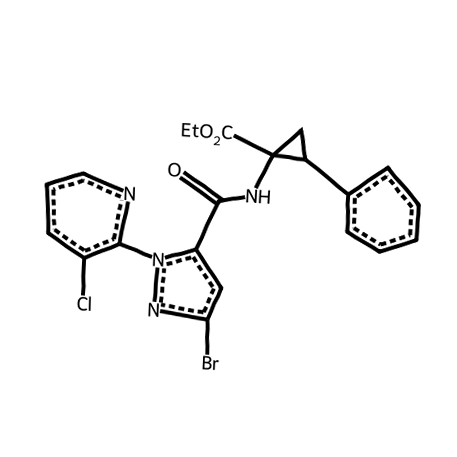 CCOC(=O)C1(NC(=O)c2cc(Br)nn2-c2ncccc2Cl)CC1c1ccccc1